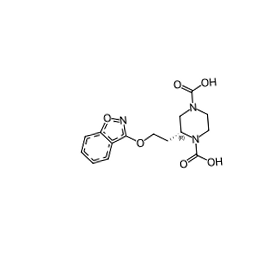 O=C(O)N1CCN(C(=O)O)[C@H](CCOc2noc3ccccc23)C1